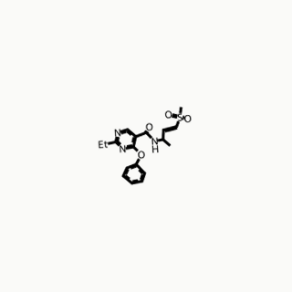 CCc1ncc(C(=O)NC(C)C=CS(C)(=O)=O)c(Oc2ccccc2)n1